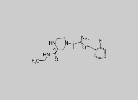 CC(C)(c1ncc(-c2ccccc2F)o1)N1CCN[C@H](C(=O)NCC(F)(F)F)C1